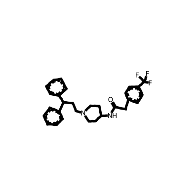 O=C(Cc1ccc(C(F)(F)F)cc1)NC1CCN(CCC(c2ccccc2)c2ccccc2)CC1